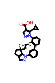 CCCC1(C)CCc2cnn(-c3cccc(-c4cccc(-n5ncc(C(=O)O)c5C5CC5)c4)c3)c21